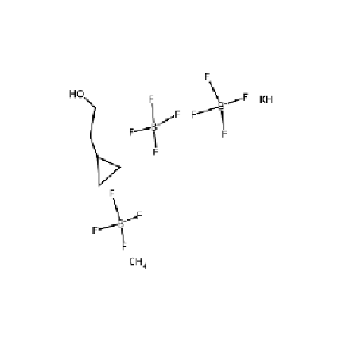 C.F[B-](F)(F)F.F[B-](F)(F)F.F[B-](F)(F)F.OCCC1CC1.[KH]